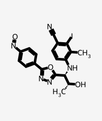 Cc1c(N[C@@H](c2nnc(-c3ccc(N=O)cc3)o2)[C@@H](C)O)ccc(C#N)c1I